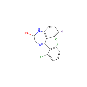 OC1CN=C(c2c(F)cccc2F)c2c(ccc(I)c2Cl)N1